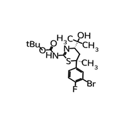 CC(C)(C)OC(=O)NC1=N[C@H](C(C)(C)O)C[C@@](C)(c2ccc(F)c(Br)c2)S1